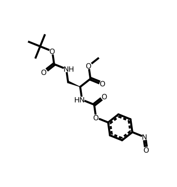 COC(=O)[C@H](CNC(=O)OC(C)(C)C)NC(=O)Oc1ccc(N=O)cc1